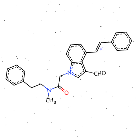 CN(CCc1ccccc1)C(=O)Cn1cc(C=O)c2c(/C=C/c3ccccc3)cccc21